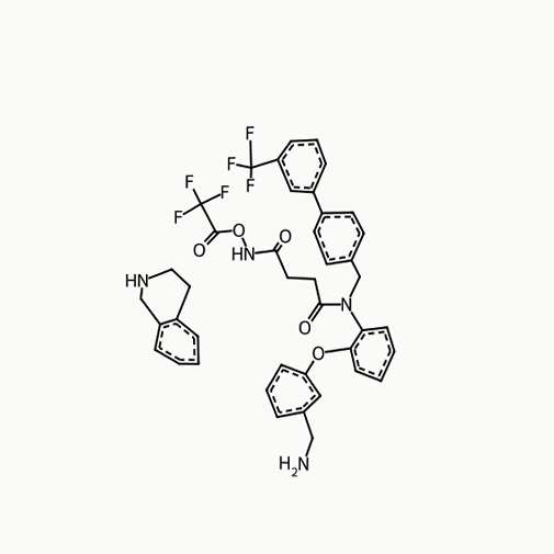 NCc1cccc(Oc2ccccc2N(Cc2ccc(-c3cccc(C(F)(F)F)c3)cc2)C(=O)CCC(=O)NOC(=O)C(F)(F)F)c1.c1ccc2c(c1)CCNC2